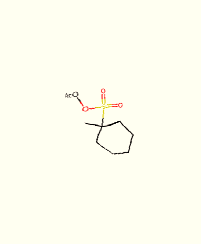 CC(=O)OOS(=O)(=O)C1(C)CCCCC1